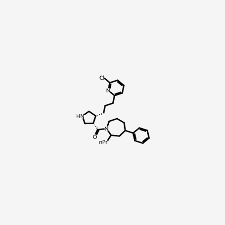 CCCC1CC(c2ccccc2)CCCN1C(=O)[C@@H]1CNC[C@@H]1CCCc1cccc(Cl)n1